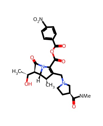 CNC(=O)[C@H]1CCN(CC2=C(C(=O)OC(=O)c3ccc([N+](=O)[O-])cc3)N3C(=O)[C@H]([C@@H](C)O)[C@H]3[C@H]2C)C1